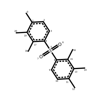 Cc1ccc(S(=O)(=O)c2ccc(C)c(C)c2C)c(C)c1C